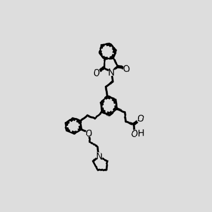 O=C(O)CCc1cc(CCc2ccccc2OCCN2CCCC2)cc(CCN2C(=O)c3ccccc3C2=O)c1